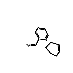 C1=CCCCC1.C=Cc1ccccn1